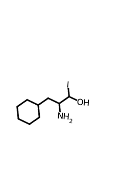 NC(CC1CCCCC1)C(O)I